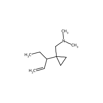 C=CC(CC)C1(CN(C)C)CC1